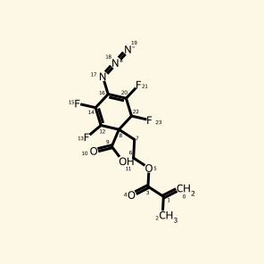 C=C(C)C(=O)OCCC1(C(=O)O)C(F)=C(F)C(N=[N+]=[N-])=C(F)C1F